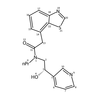 CCCN(C[C@@H](O)c1cccnc1)C(=O)Cc1cccc2ncsc12